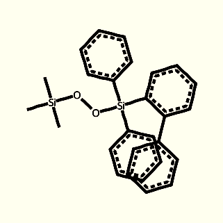 C[Si](C)(C)OO[Si](c1ccccc1)(c1ccccc1)c1ccccc1-c1ccccc1